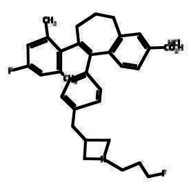 Cc1cc(F)cc(C)c1C1=C(c2ccc(CC3CN(CCCF)C3)cc2)c2ccc(C(=O)O)cc2CCC1.Cl